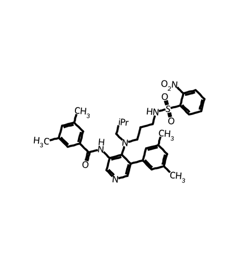 Cc1cc(C)cc(C(=O)Nc2cncc(-c3cc(C)cc(C)c3)c2N(CCCNS(=O)(=O)c2ccccc2[N+](=O)[O-])CC(C)C)c1